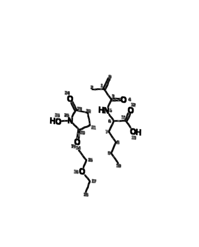 C=C(C)C(=O)NC(CCCC)C(=O)O.CCOCC.O=C1CCC(=O)N1O